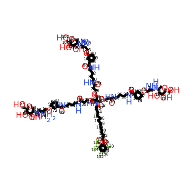 N/C(=C\N[C@H]1CO[C@H](CO)[C@H](O)[C@@H]1O)COc1cccc(C(=O)NCCCCNC(=O)CCOCC(COCCC(=O)NCCCCNC(=O)c2cccc(OC/C(N)=C/N(N)[C@H]3CO[C@H](CO)[C@H](O)[C@@H]3O)c2)(COCCC(=O)NCCCCNC(=O)c2cccc(OCc3cn([C@H]4CO[C@H](CO)[C@H](O)[C@@H]4O)nn3)c2)NC(=O)CCCCCCCCCCC(=O)Oc2c(F)c(F)c(F)c(F)c2F)c1